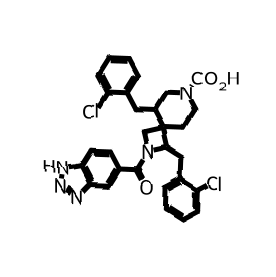 O=C(O)N1CCC2(CN(C(=O)c3ccc4[nH]nnc4c3)C2Cc2ccccc2Cl)C(Cc2ccccc2Cl)C1